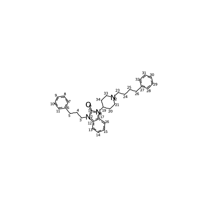 O=c1n(CCCc2ccccc2)c2ccccc2n1C1CCN(CCCCc2ccccc2)CC1